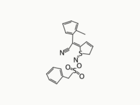 Cc1ccccc1C(C#N)=C1C=CCS1=NOS(=O)(=O)Cc1ccccc1